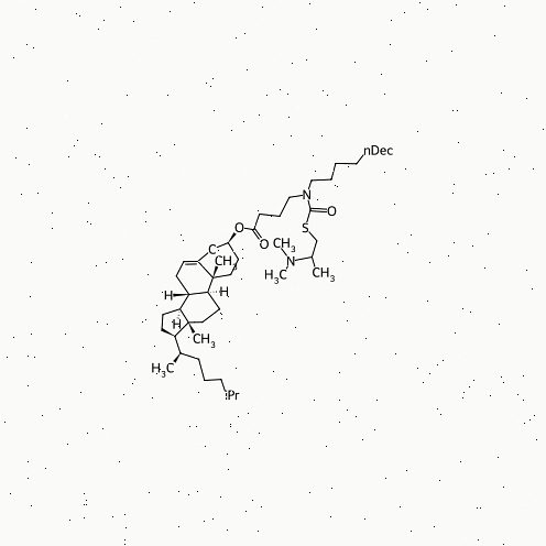 CCCCCCCCCCCCCCN(CCCC(=O)O[C@H]1CC[C@@]2(C)C(=CC[C@H]3[C@@H]4CC[C@H]([C@H](C)CCCC(C)C)[C@@]4(C)CC[C@@H]32)C1)C(=O)SCC(C)N(C)C